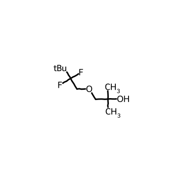 CC(C)(O)COCC(F)(F)C(C)(C)C